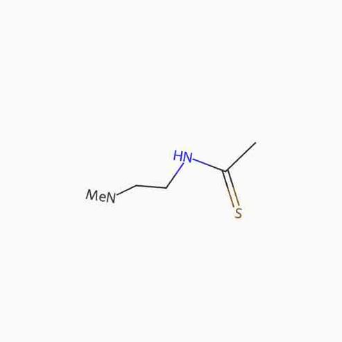 CNCCNC(C)=S